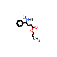 C=CCOC(=O)CCC(c1ccccc1)N(CC)CC